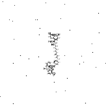 COc1cccc(C(O)(C(=O)OCC2CCN(CCCCCCCCCNC[C@@H](O)c3ccc(O)c4[nH]c(=O)ccc34)CC2)c2ccccc2)c1